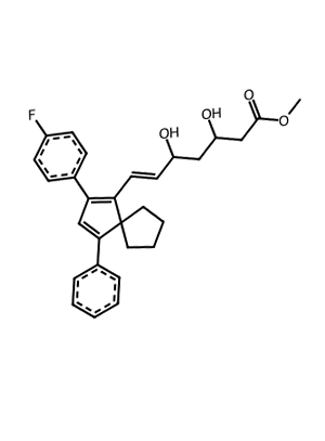 COC(=O)CC(O)CC(O)/C=C/C1=C(c2ccc(F)cc2)C=C(c2ccccc2)C12CCCC2